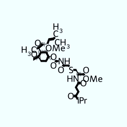 COC(=O)[C@H](CSCC(=O)NC(=O)O[C@@H]1CC[C@]2(CO2)[C@@H](C2(C)O[C@@H]2CC=C(C)C)[C@@H]1OC)NC(=O)CCC(=O)C(C)C